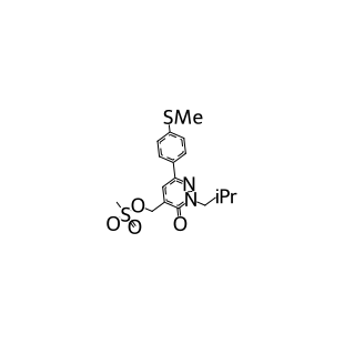 CSc1ccc(-c2cc(COS(C)(=O)=O)c(=O)n(CC(C)C)n2)cc1